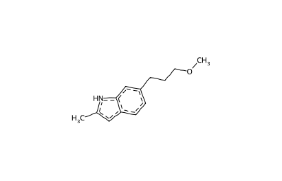 COCCCc1ccc2cc(C)[nH]c2c1